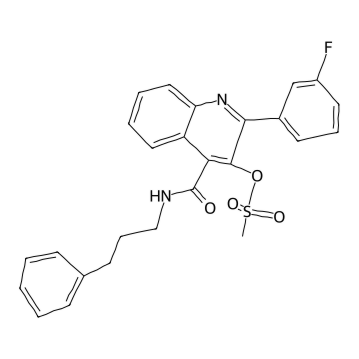 CS(=O)(=O)Oc1c(-c2cccc(F)c2)nc2ccccc2c1C(=O)NCCCc1ccccc1